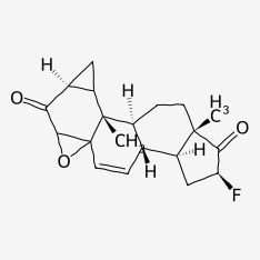 C[C@]12CC[C@H]3[C@@H](C=CC45OC4C(=O)[C@H]4CC4[C@]35C)[C@@H]1C[C@H](F)C2=O